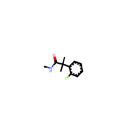 CNC(=O)C(C)(C)c1ccccc1F